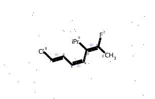 C\C(F)=C(/C=C\C=C\Cl)C(C)C